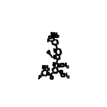 COc1cc(C(=O)N2C[C@H](N)C[C@@H](F)C2)cc2nc(-c3cc4ccc(-c5ccc(S(N)(=O)=O)c(F)c5)nc4n3CC3CC3)n(C)c12